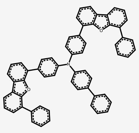 c1ccc(-c2ccc(N(c3ccc(-c4cccc5c4oc4c(-c6ccccc6)cccc45)cc3)c3ccc(-c4cccc5c4oc4c(-c6ccccc6)cccc45)cc3)cc2)cc1